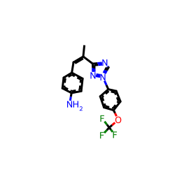 CC(=Cc1ccc(N)cc1)c1ncn(-c2ccc(OC(F)(F)F)cc2)n1